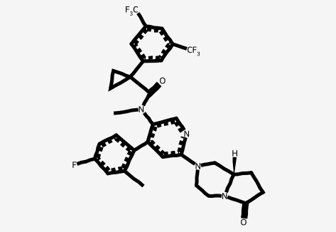 Cc1cc(F)ccc1-c1cc(N2CCN3C(=O)CC[C@H]3C2)ncc1N(C)C(=O)C1(c2cc(C(F)(F)F)cc(C(F)(F)F)c2)CC1